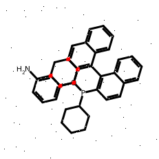 Nc1cccc(Oc2ccc3ccccc3c2-c2c(P(C3CCCCC3)C3CCCCC3)ccc3ccccc23)c1